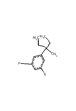 CCC(C)(CC)c1cc(F)cc(F)c1